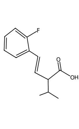 CC(C)C(/C=C/c1ccccc1F)C(=O)O